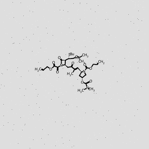 C=CCOC(=O)C(=O)N1C(=O)[C@@H]([C@@H](CO[SiH](C)C)C(C)(C)C)[C@H]1CC(=O)C(C)=C[C@@H]1C[C@@H](OC(=O)N(C)C)CN1C(=O)OCC=C